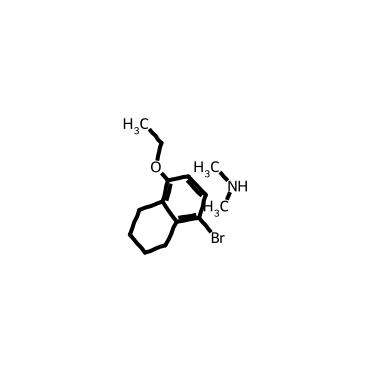 CCOc1ccc(Br)c2c1CCCC2.CNC